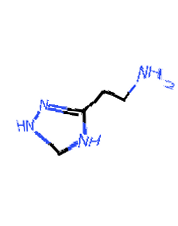 NCCC1=NNCN1